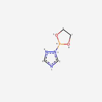 c1ncn(P2OCCO2)n1